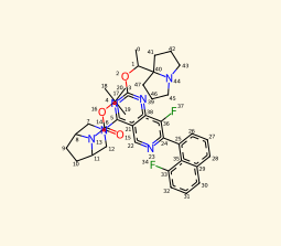 CC(Oc1nc(N2CC3CCC(C2)N3C(=O)OC(C)(C)C)c2cnc(-c3cccc4cccc(F)c34)c(F)c2n1)C12CCCN1CCC2